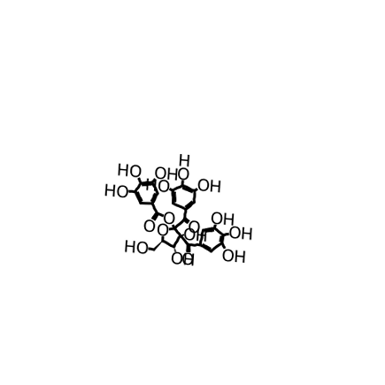 O=C(OC1(C(=O)c2cc(O)c(O)c(O)c2)O[C@H](CO)[C@@H](O)[C@]1(O)C(=O)c1cc(O)c(O)c(O)c1)c1cc(O)c(O)c(O)c1